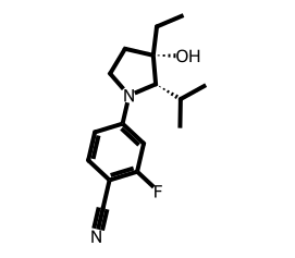 CC[C@]1(O)CCN(c2ccc(C#N)c(F)c2)[C@H]1C(C)C